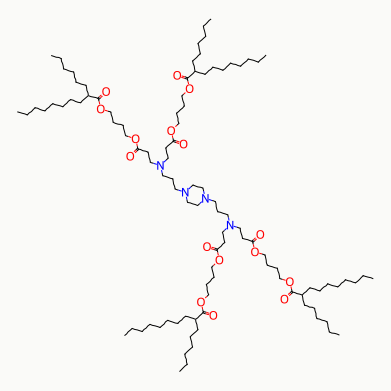 CCCCCCCCC(CCCCCC)C(=O)OCCCCOC(=O)CCN(CCCN1CCN(CCCN(CCC(=O)OCCCCOC(=O)C(CCCCCC)CCCCCCCC)CCC(=O)OCCCCOC(=O)C(CCCCCC)CCCCCCCC)CC1)CCC(=O)OCCCCOC(=O)C(CCCCCC)CCCCCCCC